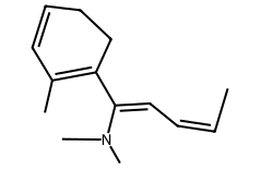 C/C=C\C=C(\C1=C(C)C=CCC1)N(C)C